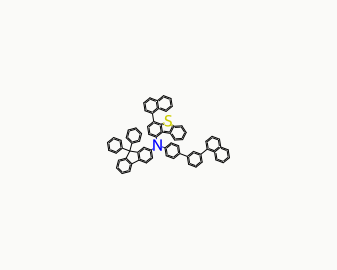 c1ccc(C2(c3ccccc3)c3ccccc3-c3ccc(N(c4ccc(-c5cccc(-c6cccc7ccccc67)c5)cc4)c4ccc(-c5cccc6ccccc56)c5sc6ccccc6c45)cc32)cc1